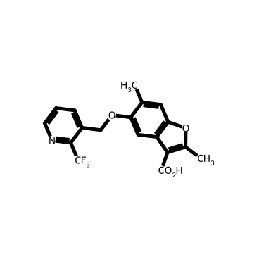 Cc1cc2oc(C)c(C(=O)O)c2cc1OCc1cccnc1C(F)(F)F